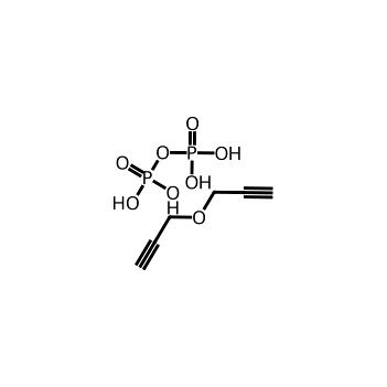 C#CCOCC#C.O=P(O)(O)OP(=O)(O)O